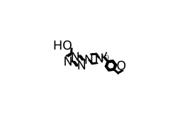 C[C@@H](c1ccc2c(c1)OCC2)N1CCN(c2cn3c(CO)cnc3cn2)CC1